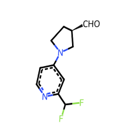 O=C[C@@H]1CCN(c2ccnc(C(F)F)c2)C1